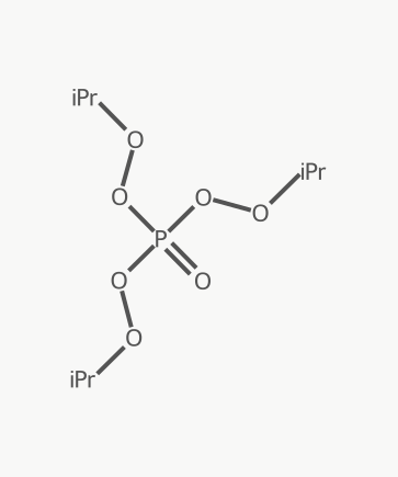 CC(C)OOP(=O)(OOC(C)C)OOC(C)C